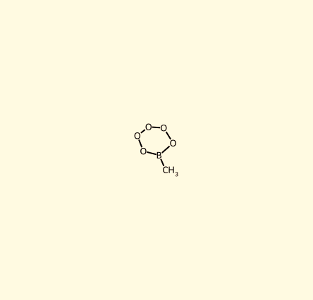 CB1OOOOO1